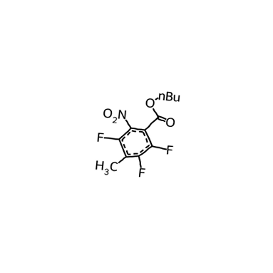 CCCCOC(=O)c1c(F)c(F)c(C)c(F)c1[N+](=O)[O-]